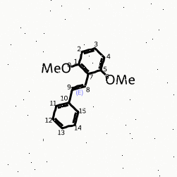 COc1cccc(OC)c1/C=C/c1ccccc1